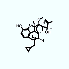 C=C(C)[C@@](C)(O)[C@H]1C[C@@]23CC[C@]1(OC)[C@@H]1Oc4c(O)ccc5c4[C@@]12CCN(CC1CC1)[C@@H]3C5